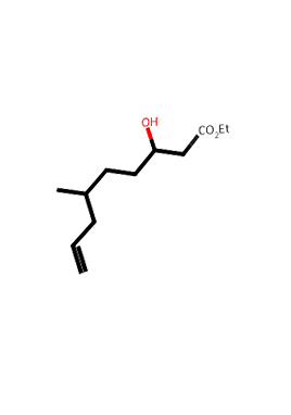 C=CCC(C)CCC(O)CC(=O)OCC